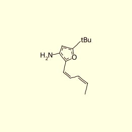 C/C=C\C=C/c1oc(C(C)(C)C)cc1N